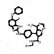 CC(C)CNC(=O)c1cn2ncnc(N)c2c1-c1ccc(Nc2nc3ccc(Oc4ccccc4)c(F)c3[nH]2)cc1